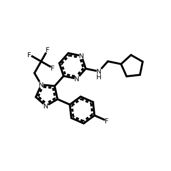 Fc1ccc(-c2ncn(CC(F)(F)F)c2-c2ccnc(NCC3CCCC3)n2)cc1